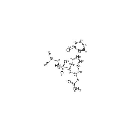 NC(=O)Cc1cc(S(=O)(=O)NCC(F)F)c2cn(-c3ccccc3Cl)nc2c1